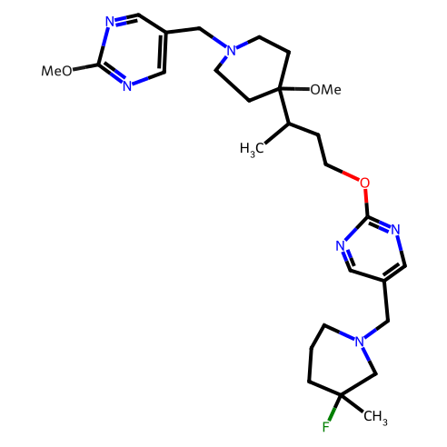 COc1ncc(CN2CCC(OC)(C(C)CCOc3ncc(CN4CCCC(C)(F)C4)cn3)CC2)cn1